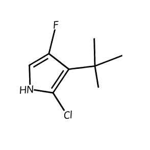 CC(C)(C)c1c(F)c[nH]c1Cl